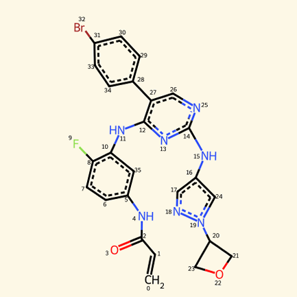 C=CC(=O)Nc1ccc(F)c(Nc2nc(Nc3cnn(C4COC4)c3)ncc2-c2ccc(Br)cc2)c1